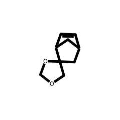 C1=CC2CC1CC21COCO1